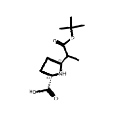 CC(C(=O)OC(C)(C)C)[C@@H]1CC[C@@H](C(=O)O)N1